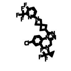 Fc1ccc(N2CC3(CC(c4nnc5n4-c4ccc(Cl)cc4CN(C4(C(F)(F)F)CC4)C5)C3)C2)nc1C(F)(F)F